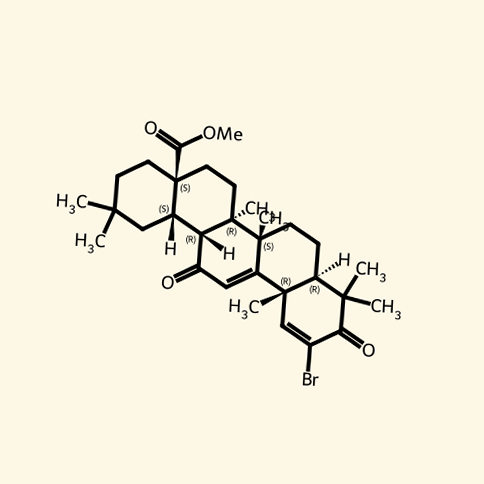 COC(=O)[C@]12CCC(C)(C)C[C@H]1[C@H]1C(=O)C=C3[C@@]4(C)C=C(Br)C(=O)C(C)(C)[C@@H]4CC[C@@]3(C)[C@]1(C)CC2